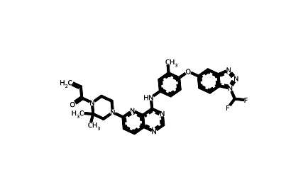 C=CC(=O)N1CCN(c2ccc3ncnc(Nc4ccc(Oc5ccc6c(c5)nnn6C(F)F)c(C)c4)c3n2)CC1(C)C